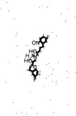 O=Nc1ccc(F)cc1CCC[C@H](O)CN(P)C[C@@H](O)[C@@H]1CCc2cc(F)ccc2O1